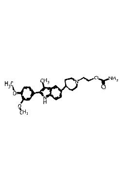 COc1ccc(-c2[nH]c3ccc(C4CCN(CCOC(N)=O)CC4)cc3c2C)cc1OC